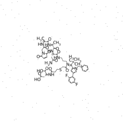 C[C@H](NC(=O)CN1C(=O)C=CC1=O)C(=O)N[C@H](C)C(=O)N[C@@H](CC(N)=O)C(=O)NCCCN(C(=O)CSCCC(=O)N[C@H](CC(=O)O)C(=O)O)[C@@H](c1cc(-c2cc(F)ccc2F)cn1Cc1ccccc1)C(C)(C)C